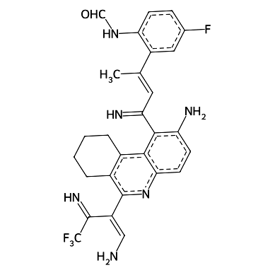 C/C(=C\C(=N)c1c(N)ccc2nc(/C(=C/N)C(=N)C(F)(F)F)c3c(c12)CCCC3)c1cc(F)ccc1NC=O